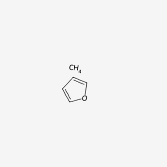 C.c1ccoc1